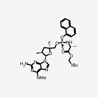 CNc1nc(N)nc2c1ncn2[C@@H]1O[C@](F)(COP(=S)(N[C@H](C)C(=O)OCC(C)(C)C)Oc2cccc3ccccc23)C[C@@H]1C